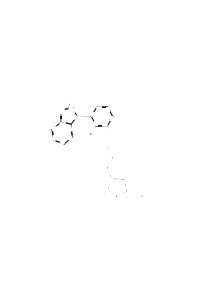 O=C(O)[C@@H]1C[C@@H](O)CN1CCCOc1cccc(-c2nsc3ccccc23)c1Cl